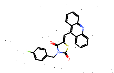 O=C1S/C(=C\c2c3ccccc3nc3ccccc23)C(=O)N1Cc1ccc(F)cc1